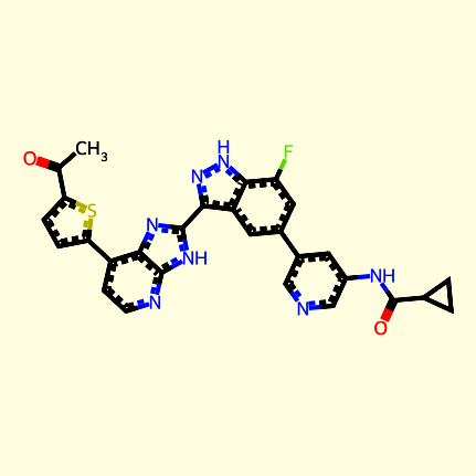 CC(=O)c1ccc(-c2ccnc3[nH]c(-c4n[nH]c5c(F)cc(-c6cncc(NC(=O)C7CC7)c6)cc45)nc23)s1